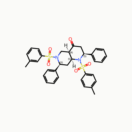 Cc1ccc(S(=O)(=O)N2[C@H](c3ccccc3)CC(=O)[C@@H]3CN(S(=O)(=O)c4cccc(C)c4)[C@H](c4ccccc4)C[C@@H]32)cc1